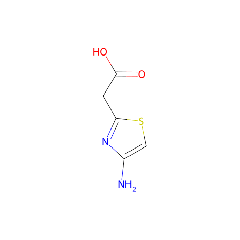 Nc1csc(CC(=O)O)n1